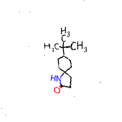 CC(C)(C)C1CCC2(CCC(=O)N2)CC1